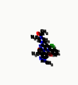 C=CC(=O)N1C[C@H](C)N(c2nc(=O)n(-c3c(C)cc4c(ncn4C)c3C(C)C)c3nc(-c4c(O)cccc4F)c(Cl)cc23)C[C@H]1C